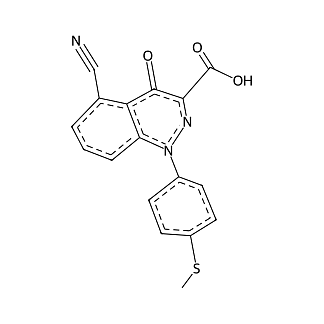 CSc1ccc(-n2nc(C(=O)O)c(=O)c3c(C#N)cccc32)cc1